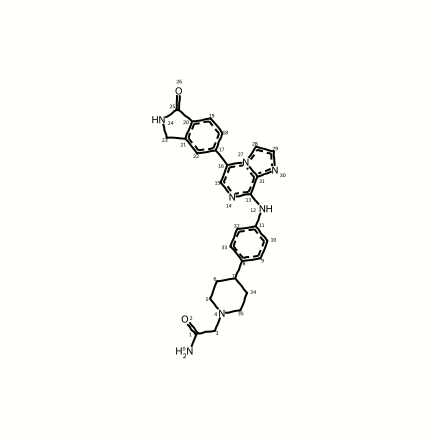 NC(=O)CN1CCC(c2ccc(Nc3ncc(-c4ccc5c(c4)CNC5=O)n4ccnc34)cc2)CC1